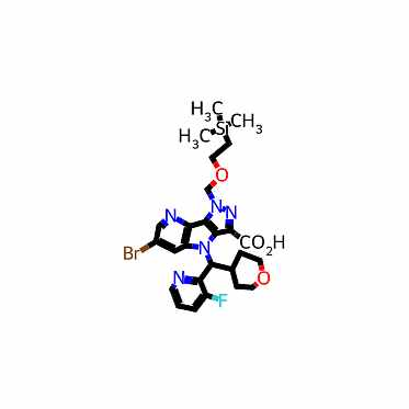 C[Si](C)(C)CCOCn1nc(C(=O)O)c2c1c1ncc(Br)cc1n2C(c1ncccc1F)C1CCOCC1